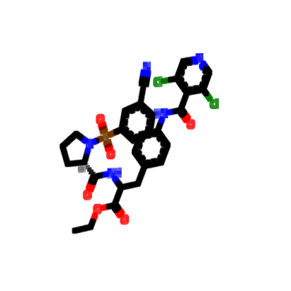 CCOC(=O)C(Cc1ccc(NC(=O)c2c(Cl)cncc2Cl)cc1)NC(=O)[C@@H]1CCCN1S(=O)(=O)c1cccc(C#N)c1